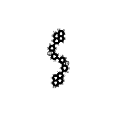 c1cc2ccc3cc(-c4ccc5oc6ccc(-c7ccc8oc9ccc(-c%10cc%11ccc%12cccc%13ccc(c%10)c%11c%12%13)cc9c8c7)cc6c5c4)cc4ccc(c1)c2c34